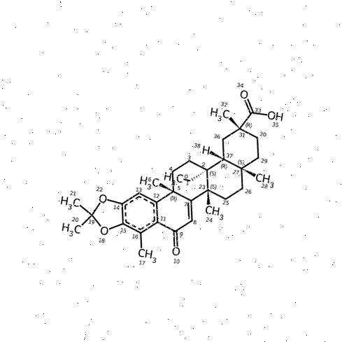 CC[C@@]12CC[C@]3(C)C(=CC(=O)c4c3cc3c(c4C)OC(C)(C)O3)[C@@]1(C)CC[C@@]1(C)CC[C@@](C)(C(=O)O)C[C@H]12